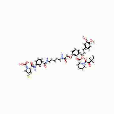 CCC(C)(C)C(=O)C(=O)N1CCCC[C@H]1C(=O)O[C@H](CCc1ccc(OC)c(OC)c1)c1cccc(OCC(=O)NCCCCCNC(=O)c2cccc(NC(=O)[C@@H]3C[C@H](S)CN3C(=O)O)c2)c1